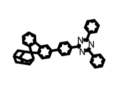 c1ccc(-c2nc(-c3ccccc3)nc(-c3ccc(-c4ccc5c(c4)-c4ccccc4C54C5CC6CC(C5)CC4C6)cc3)n2)cc1